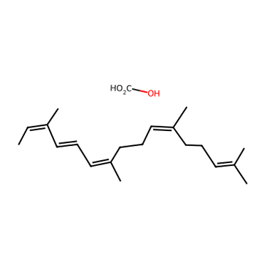 CC=C(C)C=CC=C(C)CCC=C(C)CCC=C(C)C.O=C(O)O